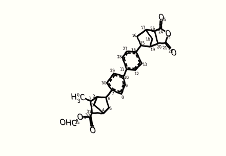 CC1C2CC(CC2c2ccc(-c3ccc(C4CC5CC4C4C(=O)OC(=O)C54)cc3)cc2)C1C(=O)OC=O